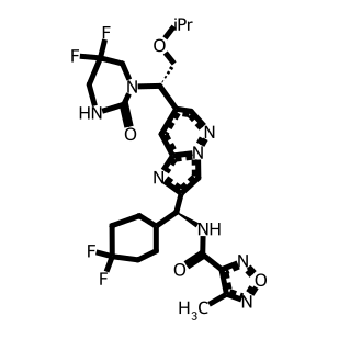 Cc1nonc1C(=O)N[C@H](c1cn2ncc([C@@H](COC(C)C)N3CC(F)(F)CNC3=O)cc2n1)C1CCC(F)(F)CC1